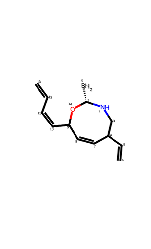 B[C@@H]1NCC(C=C)C=CC(/C=C\C=C)O1